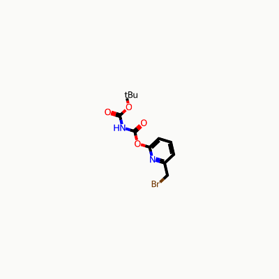 CC(C)(C)OC(=O)NC(=O)Oc1cccc(CBr)n1